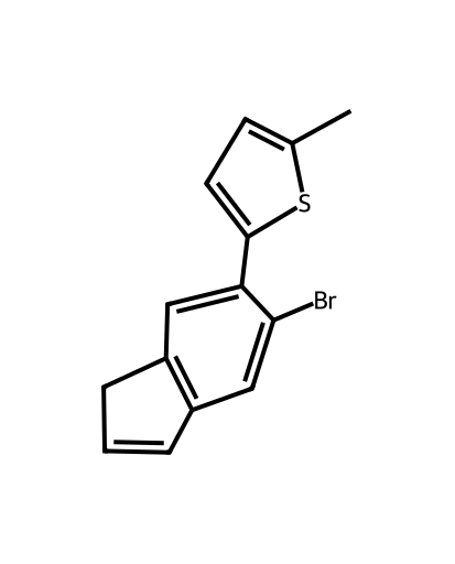 Cc1ccc(-c2cc3c(cc2Br)C=CC3)s1